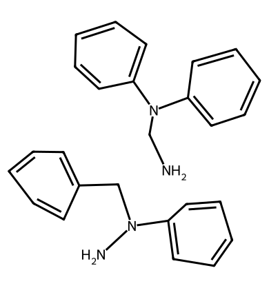 NCN(c1ccccc1)c1ccccc1.NN(Cc1ccccc1)c1ccccc1